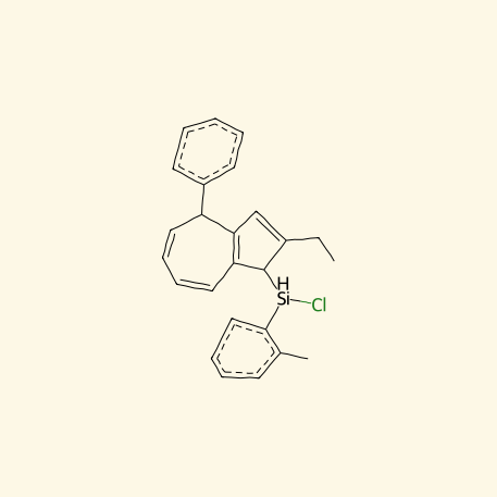 CCC1=CC2=C(C=CC=CC2c2ccccc2)C1[SiH](Cl)c1ccccc1C